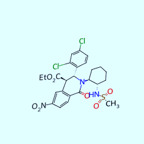 CCOC(=O)[C@@H]1c2cc([N+](=O)[O-])ccc2C(=O)N([C@H]2CCCC[C@@H]2NS(C)(=O)=O)[C@H]1c1ccc(Cl)cc1Cl